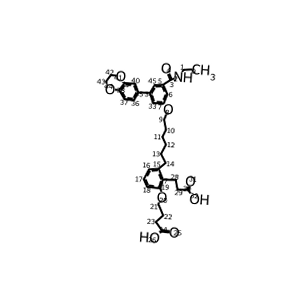 CCNC(=O)c1cc(OCCCCCCc2cccc(OCCCC(=O)O)c2CCC(=O)O)cc(-c2ccc3c(c2)OCCO3)c1